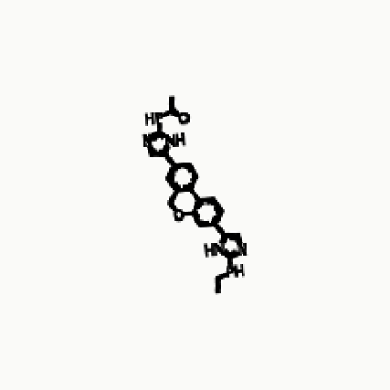 CCPc1ncc(-c2ccc3c(c2)OCc2cc(-c4cnc(PC(C)=O)[nH]4)ccc2-3)[nH]1